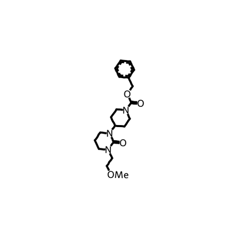 COCCN1CCCN(C2CCN(C(=O)OCc3ccccc3)CC2)C1=O